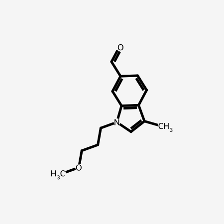 COCCCn1cc(C)c2ccc(C=O)cc21